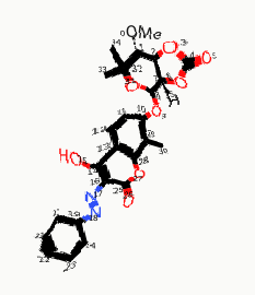 CO[C@@H]1C2OC(=O)O[C@@H]2C(Oc2ccc3c(O)c(/N=N/c4ccccc4)c(=O)oc3c2C)OC1(C)C